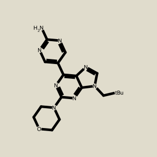 CC(C)(C)Cn1cnc2c(-c3cnc(N)nc3)nc(N3CCOCC3)nc21